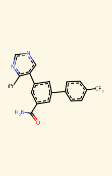 CC(C)c1ncncc1-c1cc(C(N)=O)cc(-c2ccc(C(F)(F)F)cc2)c1